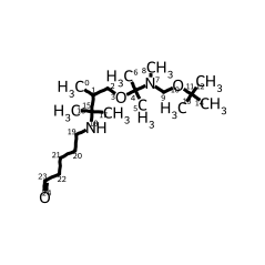 CC(COC(C)(C)N(C)COC(C)(C)C)C(C)(C)NCCCCC=O